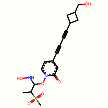 CC(C(NO)On1ccc(C#CC#CC2CC(CO)C2)cc1=O)S(C)(=O)=O